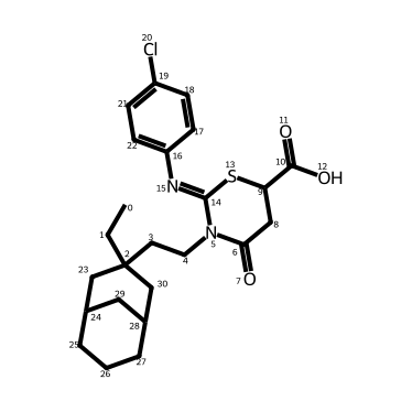 CCC1(CCN2C(=O)CC(C(=O)O)S/C2=N\c2ccc(Cl)cc2)CC2CCCC(C2)C1